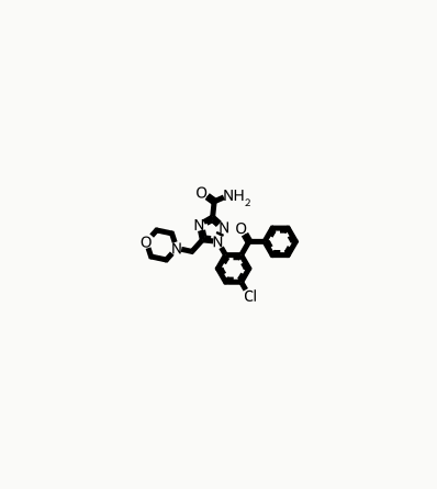 NC(=O)c1nc(CN2CCOCC2)n(-c2ccc(Cl)cc2C(=O)c2ccccc2)n1